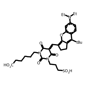 CCN(CC)c1ccc2c(c1)OC1=C(C=C3C(=O)N(CCCCCC(=O)O)C(=O)N(CCCS(=O)(=O)O)C3=O)CCC1=C2C(C)(C)C